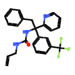 C=CCNC(=O)NC(Cc1ccccc1)(c1cccc(C(F)(F)F)c1)c1ccccn1